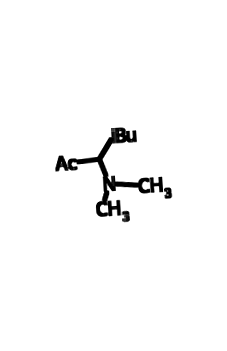 CCC(C)C(C(C)=O)N(C)C